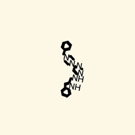 c1ccc(CN2CCN(c3cc(NCc4cc5ccccc5[nH]4)ncn3)CC2)cc1